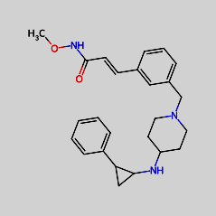 CONC(=O)C=Cc1cccc(CN2CCC(NC3CC3c3ccccc3)CC2)c1